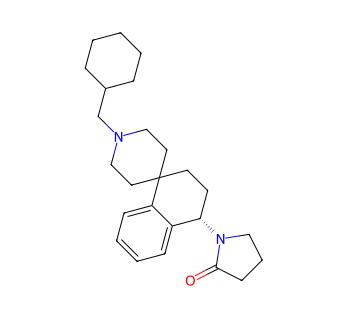 O=C1CCCN1[C@H]1CCC2(CCN(CC3CCCCC3)CC2)c2ccccc21